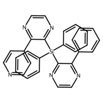 c1ccc(-c2nccnc2[Si](c2ccccc2)(c2ccccc2)c2nccnc2-c2ccncc2)cc1